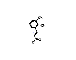 O=[N+]([O-])/C=C/c1cccc(O)c1O